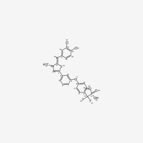 Cn1nc(-c2cccc(Oc3ccc(C(F)(F)P(=O)(O)O)cc3)c2)sc1=Nc1ccc(Cl)c(Cl)c1